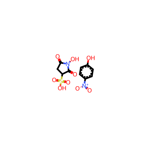 O=C1CC(S(=O)(=O)O)C(=O)N1O.O=[N+]([O-])c1ccc(O)cc1